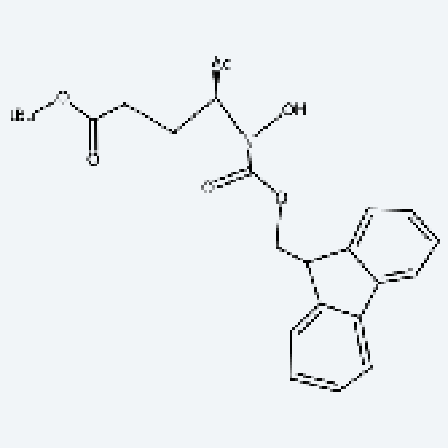 CC(=O)[C@H](CCC(=O)OC(C)(C)C)N(O)C(=O)OCC1c2ccccc2-c2ccccc21